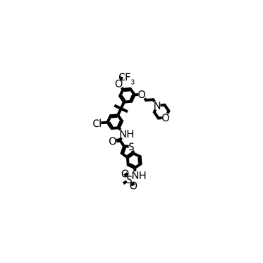 CC(C)(c1cc(Cl)cc(NC(=O)c2cc3cc(NS(C)(=O)=O)ccc3s2)c1)c1cc(OCCN2CCOCC2)cc(OC(F)(F)F)c1